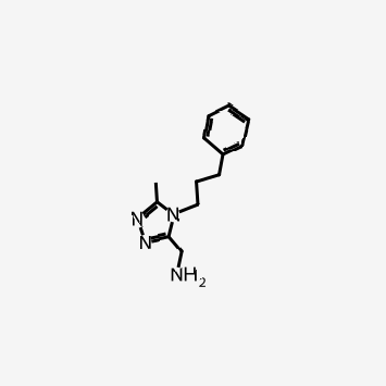 Cc1nnc(CN)n1CCCc1ccccc1